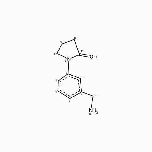 NCc1cccc(N2CCCC2=O)c1